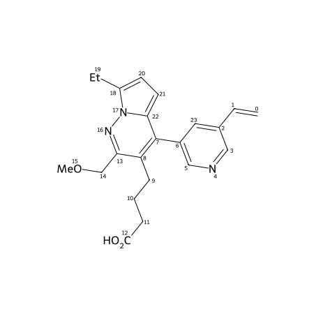 C=Cc1cncc(-c2c(CCCC(=O)O)c(COC)nn3c(CC)ccc23)c1